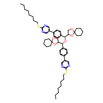 CCCCCCCCSc1ncc(-c2ccc([C@H](O[C@@H](c3ccc(-c4cnc(SCCCCCCCC)nc4)cc3)C3COC4(CCCCC4)O3)C3COC4(CCCCC4)O3)cc2)cn1